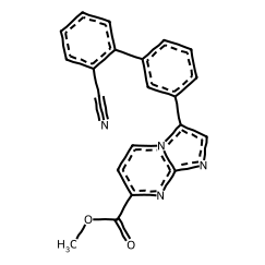 COC(=O)c1ccn2c(-c3cccc(-c4ccccc4C#N)c3)cnc2n1